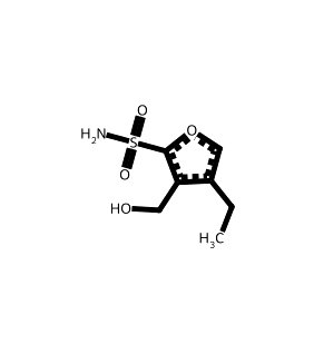 CCc1coc(S(N)(=O)=O)c1CO